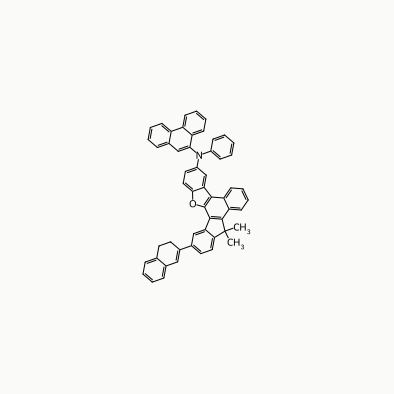 CC1(C)c2ccc(C3=Cc4ccccc4CC3)cc2-c2c1c1ccccc1c1c2oc2ccc(N(c3ccccc3)c3cc4ccccc4c4ccccc34)cc21